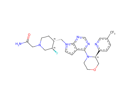 NC(=O)CN1CC[C@H](Cn2ccc3c(N4CCOC[C@@H]4c4ccc(C(F)(F)F)cn4)ncnc32)[C@@H](F)C1